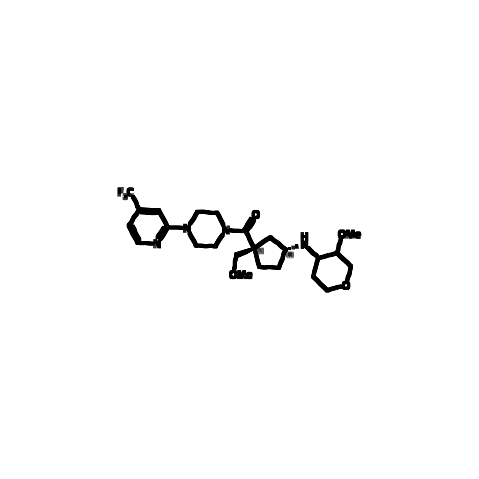 COC[C@]1(C(=O)N2CCN(c3cc(C(F)(F)F)ccn3)CC2)CC[C@@H](NC2CCOCC2OC)C1